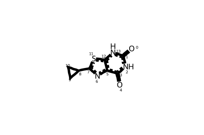 O=c1[nH]c(=O)c2nc(C3CC3)sc2[nH]1